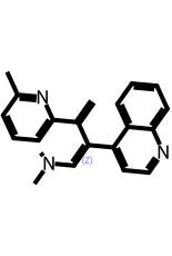 C=C(/C(=C\N(C)C)c1ccnc2ccccc12)c1cccc(C)n1